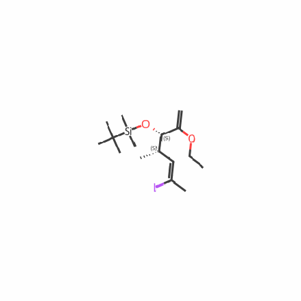 C=C(OCC)[C@@H](O[Si](C)(C)C(C)(C)C)[C@@H](C)C=C(C)I